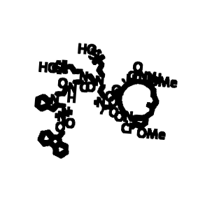 COc1cc2cc(c1Cl)N(C)C(=O)C[C@H](OC(=O)[C@H](C)N(C)C(=O)CCN(CCCC(C)(C)[Si](C)(C)O)C(=O)CN(CCCC(C)(C)[Si](C)(C)O)C(=O)CNC(=O)CCn1c(CN(C)N(C)C(=O)OCC3c4ccccc4-c4ccccc43)cc3ccccc31)[C@]1(C)OC1[C@H](C)[C@@H]1C[C@@](O)(NC(=O)O1)[C@H](OC)/C=C/C=C(\C)C2